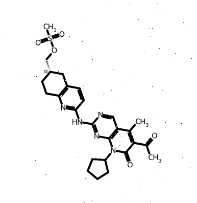 CC(=O)c1c(C)c2cnc(Nc3ccc4c(n3)CC[C@H](COS(C)(=O)=O)C4)nc2n(C2CCCC2)c1=O